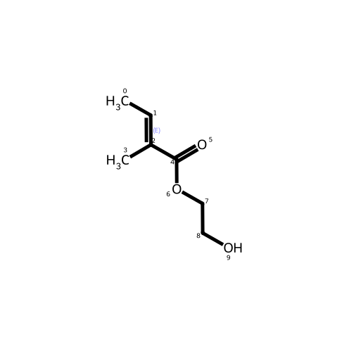 C/C=C(\C)C(=O)OCCO